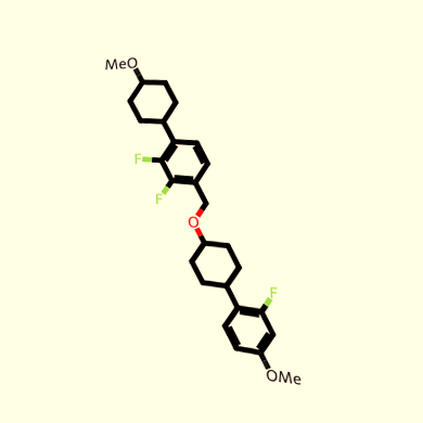 COc1ccc(C2CCC(OCc3ccc(C4CCC(OC)CC4)c(F)c3F)CC2)c(F)c1